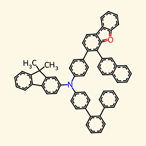 CC1(C)c2ccccc2-c2ccc(N(c3ccc(-c4ccccc4-c4ccccc4)cc3)c3ccc(-c4ccc5c(oc6ccccc65)c4-c4ccc5ccccc5c4)cc3)cc21